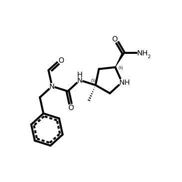 C[C@@]1(NC(=O)N(C=O)Cc2ccccc2)CN[C@H](C(N)=O)C1